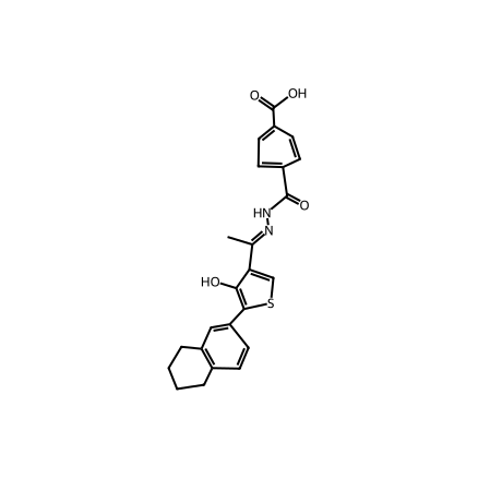 C/C(=N\NC(=O)c1ccc(C(=O)O)cc1)c1csc(-c2ccc3c(c2)CCCC3)c1O